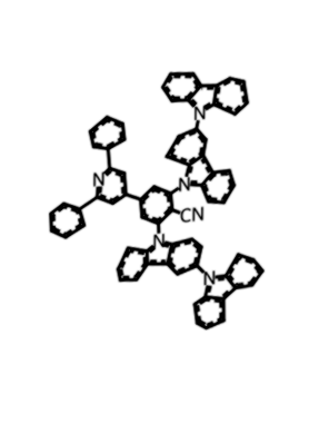 N#Cc1c(-n2c3ccccc3c3cc(-n4c5ccccc5c5ccccc54)ccc32)cc(-c2cc(-c3ccccc3)nc(-c3ccccc3)c2)cc1-n1c2ccccc2c2cc(-n3c4ccccc4c4ccccc43)ccc21